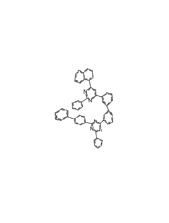 c1ccc(-c2ccc(-c3nc(-c4ccccc4)nc(-c4cccc(-c5cccc(-c6cc(-c7cccc8ccccc78)nc(-c7ccccc7)n6)c5)c4)n3)cc2)cc1